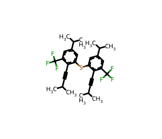 CC(C)C#Cc1c(Sc2cc(C(C)C)cc(C(F)(F)F)c2C#CC(C)C)cc(C(C)C)cc1C(F)(F)F